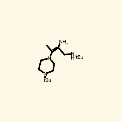 C/C(=C(\N)CNC(C)(C)C)N1CCN(C(C)(C)C)CC1